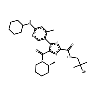 Cc1cc(NC2CCCCC2)ncc1-c1sc(C(=O)NCC(C)(C)O)nc1C(=O)N1CCCC[C@@H]1C